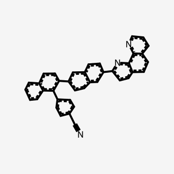 N#Cc1ccc(-c2c(-c3ccc4cc(-c5ccc6ccc7cccnc7c6n5)ccc4c3)ccc3ccccc23)cc1